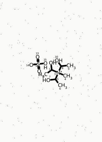 CC(O)[N+](C)(C(C)O)C(C)O.O=S(=O)([O-])O